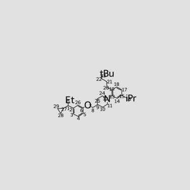 CCC(c1cccc(OCC2CCN(c3cc(C(C)C)ccc3CCCC(C)(C)C)CC2)c1)C1CC1